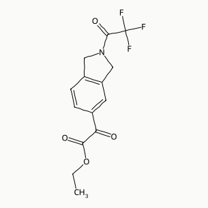 CCOC(=O)C(=O)c1ccc2c(c1)CN(C(=O)C(F)(F)F)C2